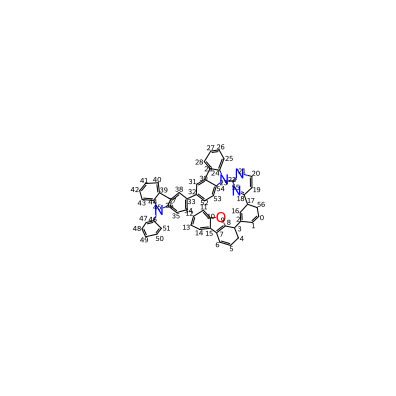 C1=CC(C2CC=Cc3c2oc2ccccc32)=CC(c2ccnc(-n3c4ccccc4c4cc(-c5ccc6c(c5)c5ccccc5n6-c5ccccc5)ccc43)n2)C1